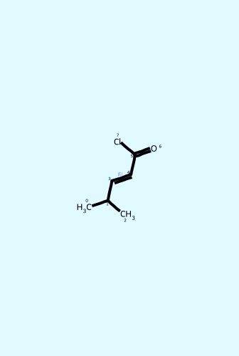 CC(C)/C=C/C(=O)Cl